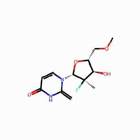 C=C1NC(=O)C=CN1[C@@H]1O[C@H](COC)[C@@H](O)[C@@]1(C)F